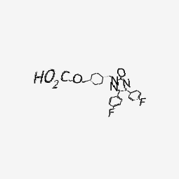 O=C(O)COC[C@H]1CC[C@H](Cn2nc(-c3ccc(F)cc3)c(-c3ccc(F)cc3)nc2=O)CC1